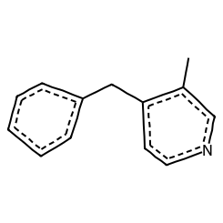 Cc1cnccc1Cc1ccccc1